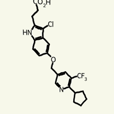 O=C(O)CCc1[nH]c2ccc(OCc3cnc(C4CCCC4)c(C(F)(F)F)c3)cc2c1Cl